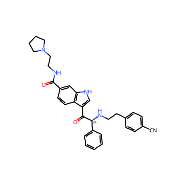 N#Cc1ccc(CCN[C@H](C(=O)c2c[nH]c3cc(C(=O)NCCN4CCCC4)ccc23)c2ccccc2)cc1